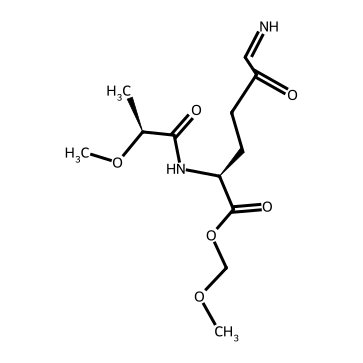 COCOC(=O)[C@H](CCC(=O)C=N)NC(=O)[C@H](C)OC